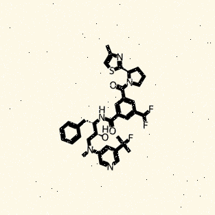 Cc1csc([C@H]2CCCN2C(=O)c2cc(C(=O)N[C@@H](Cc3ccccc3)[C@H](O)CN(C)c3cncc(C(C)(C)F)c3)cc(C(F)F)c2)n1